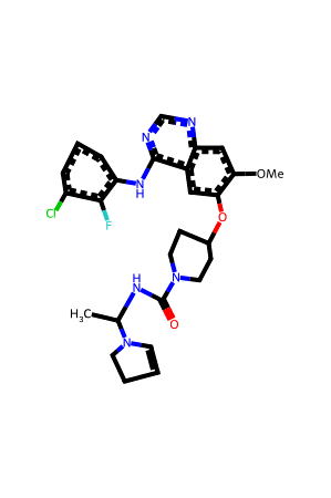 COc1cc2ncnc(Nc3cccc(Cl)c3F)c2cc1OC1CCN(C(=O)NC(C)N2C=CCC2)CC1